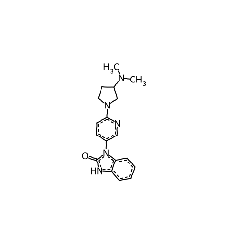 CN(C)C1CCN(c2ccc(-n3c(=O)[nH]c4ccccc43)cn2)C1